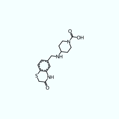 O=C1CSc2ccc(CNC3CCN(C(=O)O)CC3)cc2N1